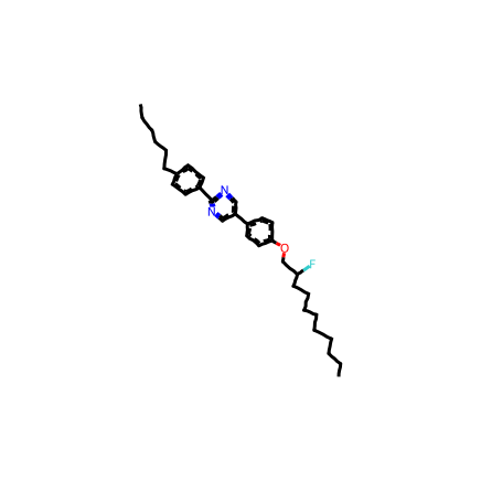 CCCCCCCCCC(F)COc1ccc(-c2cnc(-c3ccc(CCCCCC)cc3)nc2)cc1